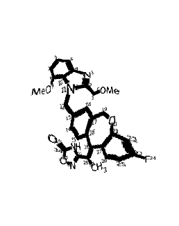 COCc1nc2cccc(OC)c2n1Cc1ccc2c(c1)COc1cc(F)ccc1/C2=C(\C)c1noc(=O)[nH]1